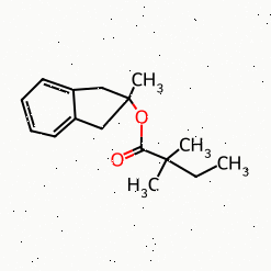 CCC(C)(C)C(=O)OC1(C)Cc2ccccc2C1